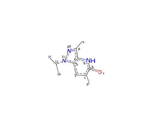 Cc1cc2c([nH]c1=O)c(C)nn2C(C)C